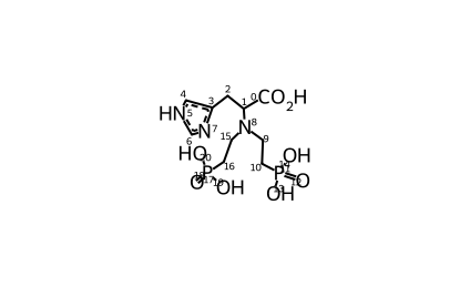 O=C(O)C(Cc1c[nH]cn1)N(CCP(=O)(O)O)CCP(=O)(O)O